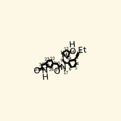 CCC#Cc1cccc(C(CN2CC[C@H](O)C2)N(C)C(=O)Cc2ccc3c(c2)NC(=O)C3)c1